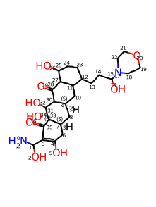 NC(O)C1=C(O)C[C@@H]2C[C@@H]3CC4C(CCC(O)N5CCOCC5)CCC(O)C4C(=O)C3C(O)[C@]2(O)C1=O